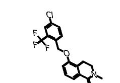 CN1CCc2c(OCc3ccc(Cl)cc3C(F)(F)F)cccc2C1=O